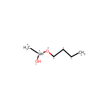 CCCCO[SiH](C)O